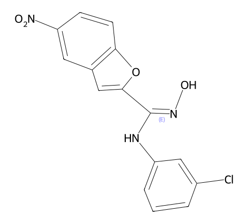 O=[N+]([O-])c1ccc2oc(/C(=N\O)Nc3cccc(Cl)c3)cc2c1